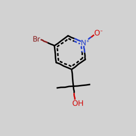 CC(C)(O)c1cc(Br)c[n+]([O-])c1